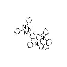 c1ccc(-c2nc(-c3ccccc3)nc(-c3cccc(-c4ccccc4-n4c5ccc6ccc7cccc8c7c6c5c5c4ccc4c6ccccc6n8c45)c3)n2)cc1